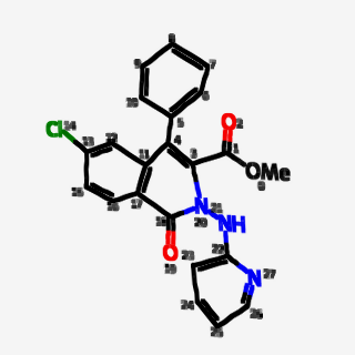 COC(=O)c1c(-c2ccccc2)c2cc(Cl)ccc2c(=O)n1Nc1ccccn1